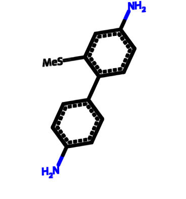 CSc1cc(N)ccc1-c1ccc(N)cc1